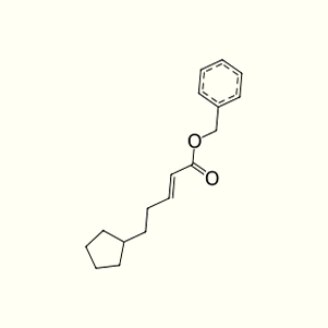 O=C(/C=C/CCC1CCCC1)OCc1ccccc1